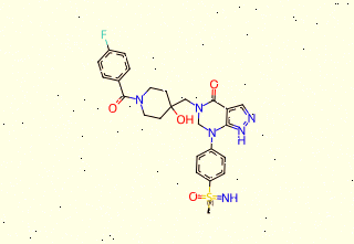 C[S@@](=N)(=O)c1ccc(N2CN(CC3(O)CCN(C(=O)c4ccc(F)cc4)CC3)C(=O)c3cn[nH]c32)cc1